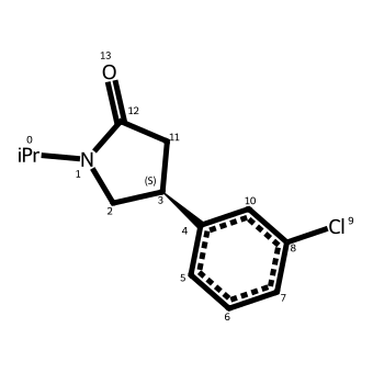 CC(C)N1C[C@H](c2cccc(Cl)c2)CC1=O